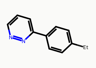 CCc1ccc(-c2cccnn2)cc1